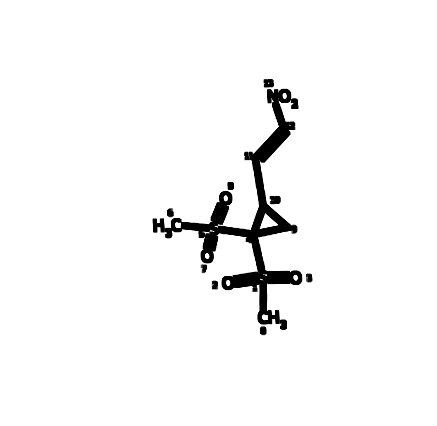 CS(=O)(=O)C1(S(C)(=O)=O)CC1/C=C/[N+](=O)[O-]